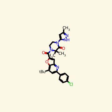 Cc1cc(N2CCN(C(=O)c3cc4nc(-c5ccc(Cl)cc5)cc(C(C)(C)C)c4o3)C(C)(C)C2=O)[nH]n1